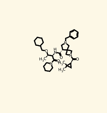 C[C@@H](OCC1CCCCC1)[C@@H](NC(=O)[C@@H]1CN(Cc2ccccc2)CC12CN(C(=O)[C@H]1CC1(C)C)C2)C(=O)N1CCCCC1